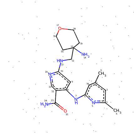 Cc1cc(C)nc(Nc2cc(NCC3(N)CCOCC3)ncc2C(N)=O)c1